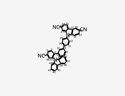 N#Cc1ccc(-c2cccc(-c3ccc(-n4c5ccc(C#N)cc5c5ccc(C#N)cc54)cc3)c2)c(-n2c3ccccc3c3ccccc32)c1